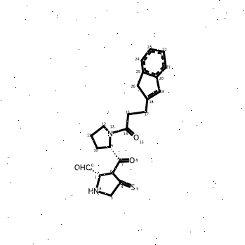 O=C[C@H]1NCC(=S)C1C(=O)[C@@H]1CCCN1C(=O)CCC1=Cc2ccccc2C1